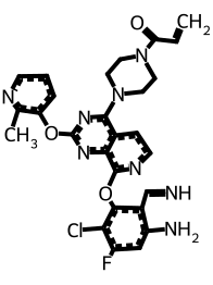 C=CC(=O)N1CCN(c2nc(Oc3cccnc3C)nc3c(Oc4c(Cl)c(F)cc(N)c4C=N)nccc23)CC1